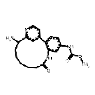 COC(=O)Nc1ccc2c(c1)NC(=O)CCCCCC(N)c1cc-2ccn1